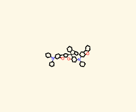 c1ccc(N(c2ccc3c(c2)C2(c4ccccc4-c4ccccc42)c2ccc4c(oc5cc(N(c6ccccc6)c6ccccc6)ccc54)c2O3)c2ccc3c(c2)oc2ccccc23)cc1